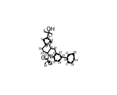 CC(C)(O)c1cc2n(n1)C(Cc1cccc(-c3ccccc3)c1)C(NS(C)(=O)=O)CC2